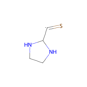 S=[C]C1NCCN1